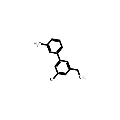 CCc1cc(Cl)cc(-c2cccc(C)c2)c1